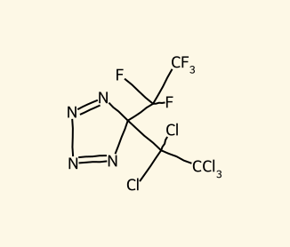 FC(F)(F)C(F)(F)C1(C(Cl)(Cl)C(Cl)(Cl)Cl)N=NN=N1